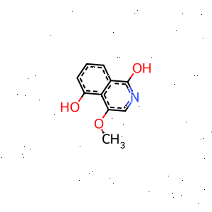 COc1cnc(O)c2cccc(O)c12